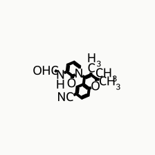 CC1=C(n2cccc(NC=O)c2=O)c2cc(C#N)ccc2OC1(C)C